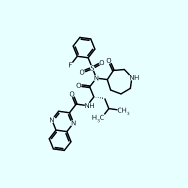 CC(C)C[C@H](NC(=O)c1cnc2ccccc2n1)C(=O)N(C1CCCNCC1=O)S(=O)(=O)c1ccccc1F